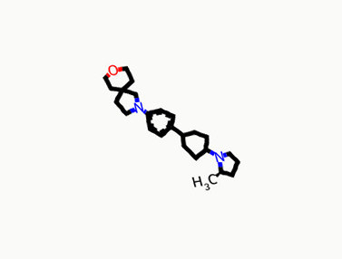 C[C@@H]1CCCN1C1CCC(c2ccc(N3CCC4(CCOCC4)C3)cc2)CC1